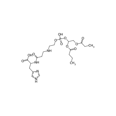 CCCC(=O)OC(COC(=O)CC)OP(=O)(O)OCCNCCC(=O)NC(Cc1c[nH]cn1)C(=O)O